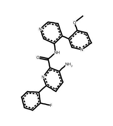 COc1ccncc1-c1ccncc1NC(=O)c1nc(-c2ccccc2F)ccc1N